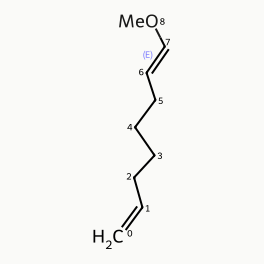 C=CCCCC/C=C/OC